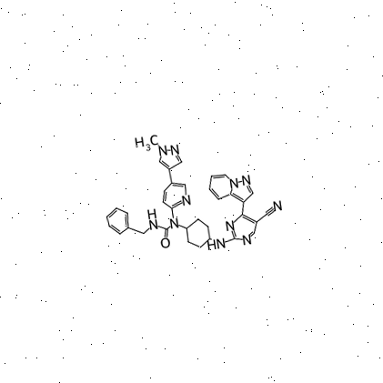 Cn1cc(-c2ccc(N(C(=O)NCc3ccccc3)C3CCC(Nc4ncc(C#N)c(-c5cnn6ccccc56)n4)CC3)nc2)cn1